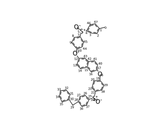 Cc1ccc([S+]([O-])c2ccc(Oc3ccc4cc(Oc5ccc([S+]([O-])c6ccc(Cc7ccccc7)cc6)cc5)ccc4c3)cc2)cc1